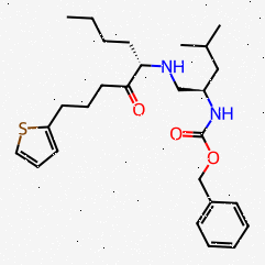 CCCC[C@H](NC[C@@H](CC(C)C)NC(=O)OCc1ccccc1)C(=O)CCCc1cccs1